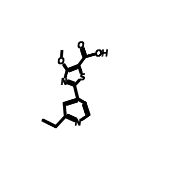 CCc1cc(-c2nc(OC)c(C(=O)O)s2)ccn1